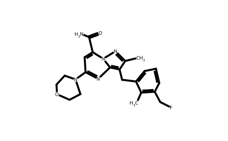 Cc1nn2c(C(N)=O)cc(N3CCOCC3)nc2c1Cc1cccc(CF)c1C